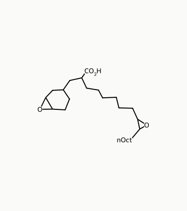 CCCCCCCCC1OC1CCCCCCC(CC1CCC2OC2C1)C(=O)O